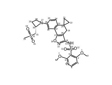 COc1ccnc(OC)c1S(=O)(=O)Nc1noc2c1CC1(CC1)c1ccc(N3CC[C@H]3CS(C)(=O)=O)cc1-2